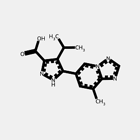 Cc1cc(-c2[nH]nc(C(=O)O)c2C(C)C)cn2ncnc12